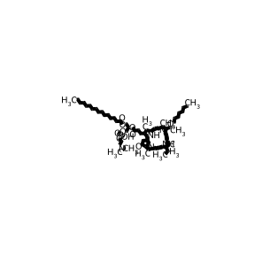 CCCCCCCCCCCCCCCC(=O)OCC(COP(=O)(O)OCCN(C)C)OC(=O)CCC1c2[nH]c(cc3nc(cc4[nH]c(cc5nc6c2CC(=O)C6=C5C)c(CC)c4C)C(C(C)OCCCCCCCC)=C3C)C1C